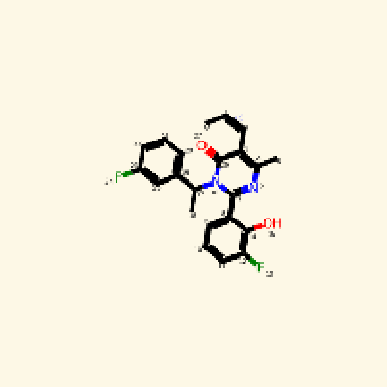 C/C=C\c1c(C)nc(-c2cccc(F)c2O)n(C(C)c2cccc(F)c2)c1=O